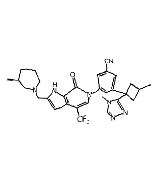 CC1CC(c2cc(C#N)cc(-n3cc(C(F)(F)F)c4cc(CN5CCC[C@H](C)C5)[nH]c4c3=O)c2)(c2nncn2C)C1